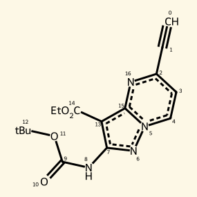 C#Cc1ccn2nc(NC(=O)OC(C)(C)C)c(C(=O)OCC)c2n1